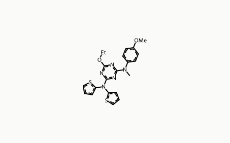 CCOc1nc(N(C)c2ccc(OC)cc2)nc(N(c2cccs2)c2cccs2)n1